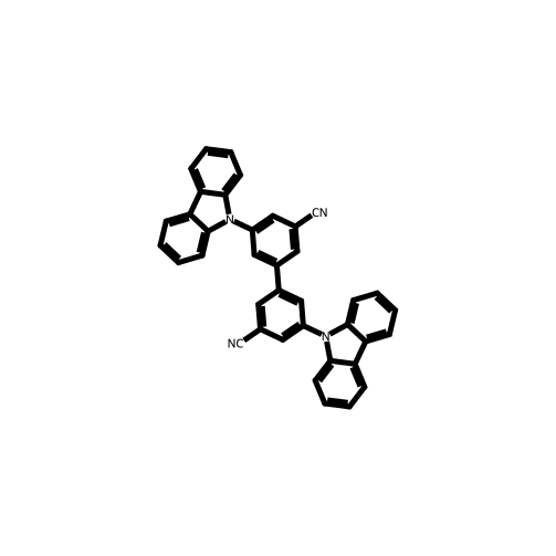 N#Cc1cc(-c2cc(C#N)cc(-n3c4ccccc4c4ccccc43)c2)cc(-n2c3ccccc3c3ccccc32)c1